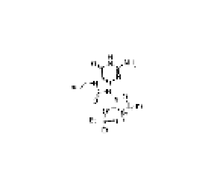 C=CCn1c(=O)n([C@@H]2O[C@H](CC)[C@@H](C)C2O[Si](CC)(CC)CC)c2nc(N)[nH]c(=O)c21